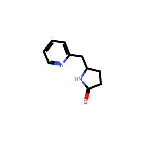 O=C1CCC(Cc2ccccn2)N1